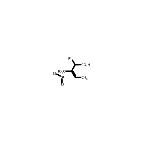 CC=C(C(=O)O)C(C(=O)O)C(C)C.CCNCC